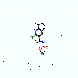 Cc1cccc2cc(C(C)NC(=O)OC(C)(C)C)c(Cl)nc12